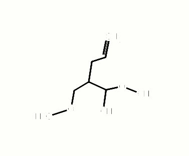 C=CCC(COC)C(C)OC